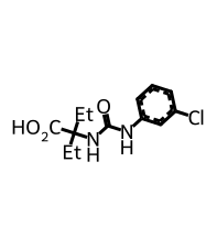 CCC(CC)(NC(=O)Nc1cccc(Cl)c1)C(=O)O